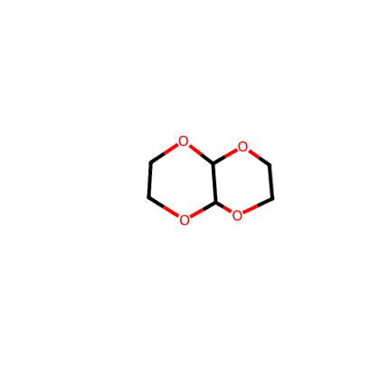 C1COC2OCCOC2O1